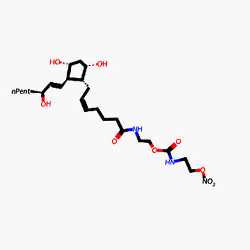 CCCCC[C@H](O)/C=C/[C@@H]1[C@@H](C/C=C\CCCC(=O)NCCOC(=O)NCCO[N+](=O)[O-])[C@@H](O)C[C@H]1O